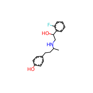 CC(CCc1ccc(O)cc1)NCC(O)c1ccccc1F